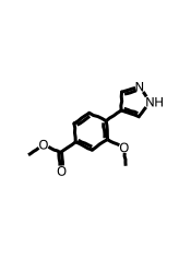 COC(=O)c1ccc(-c2cn[nH]c2)c(OC)c1